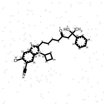 CC(O)(CC(=O)CCCCc1nc2cc(Cl)c(C#N)cc2n1C1CCC1)c1ccccc1